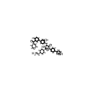 Cc1ccc(-c2ccc(C[C@H](NC(=O)[C@H]3CC[C@H](CN)CC3)C(=O)Nc3ccc(-c4nn[nH]n4)cc3)cc2)cc1C(=O)N1CCOCC1.Cl